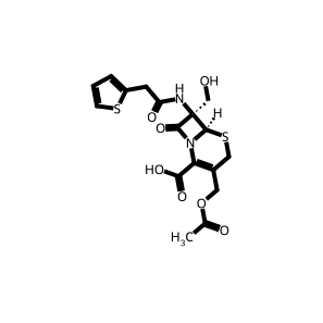 CC(=O)OCC1=C(C(=O)O)N2C(=O)[C@@](CO)(NC(=O)Cc3cccs3)[C@H]2SC1